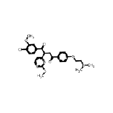 COc1cc(C(=O)C(CC(=O)c2ccc(OCCN(C)C)cc2)c2ccnc(SC)n2)ccc1Cl